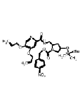 C=CCOc1cnc(C(=O)NCC2CC(O[Si](C)(C)C(C)(C)C)CN2C(=O)OCc2ccc([N+](=O)[O-])cc2)cc1OCC=C